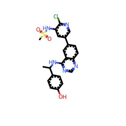 CC(Nc1ncnc2ccc(-c3cnc(Cl)c(NS(C)(=O)=O)c3)cc12)c1ccc(O)cc1